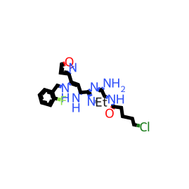 CC/N=C(\N=C(\N)CNC(=O)CCCCCl)C(=N)/C=C(\NCc1ccccc1F)c1ccon1